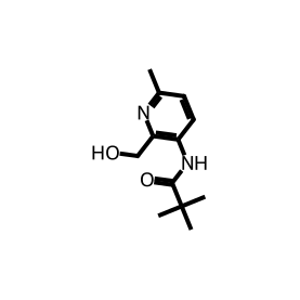 Cc1ccc(NC(=O)C(C)(C)C)c(CO)n1